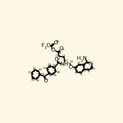 Nc1nccc2ccc(OC[C@@H](CCC(=O)OC(=O)C(F)(F)F)NC(=O)c3ccc(C(=O)c4ccccc4)cc3)cc12